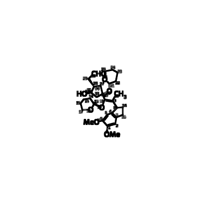 COc1cc2c(cc1OC)C(C(C)=C(O[C@@H]1CCCCO1)[C@]1(OC3CCCCO3)C[C@H](CC=O)[C@H](O)C1)CC2